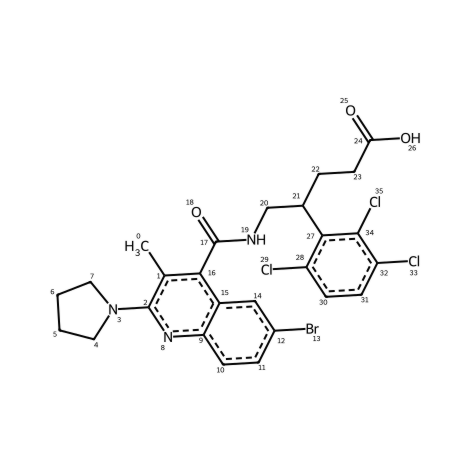 Cc1c(N2CCCC2)nc2ccc(Br)cc2c1C(=O)NCC(CCC(=O)O)c1c(Cl)ccc(Cl)c1Cl